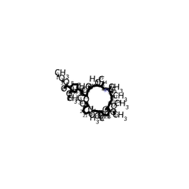 CCOCOC(=O)C1CCC(C=C(C)C2OC(=O)C3CCCCN3C(=O)C(=O)C3(O)OC(C(OC)CC(C)C(F)/C(C)=C/C(CC)C(=O)CC(O)C2C)C(OC)CC3C)CC1OC